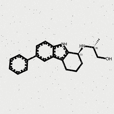 C[C@H](CO)N[C@H]1CCCc2c1[nH]c1ccc(-c3ccccc3)cc21